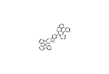 c1ccc(-c2ccccc2-c2c3ccccc3c(-c3ccc4c(c3)oc3cc5c(cc34)-c3ccccc3C53c4ccccc4-c4ccccc43)c3ccccc23)cc1